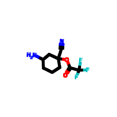 N#CC1(OC(=O)C(F)(F)F)CCCC(N)C1